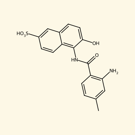 Cc1ccc(C(=O)Nc2c(O)ccc3cc(S(=O)(=O)O)ccc23)c(N)c1